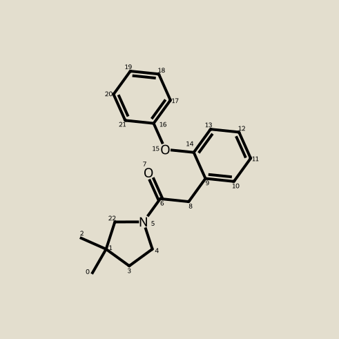 CC1(C)CCN(C(=O)Cc2ccccc2Oc2ccccc2)C1